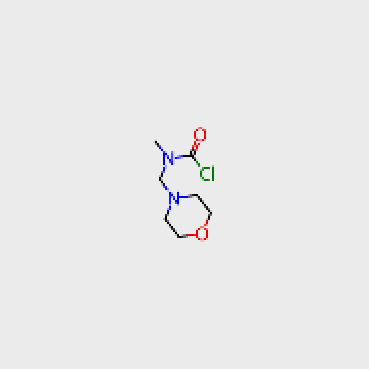 CN(CN1CCOCC1)C(=O)Cl